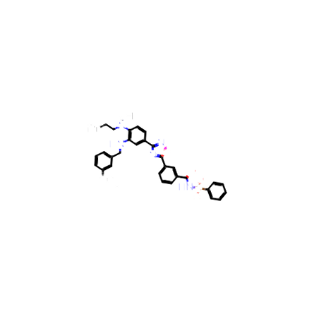 CC(C)CCN(C)c1ccc(-c2noc(-c3cccc(C(=O)NS(=O)(=O)c4ccccc4)c3)n2)cc1NCc1cccc(C(=O)O)c1